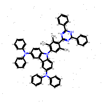 Cc1cc(-n2c3ccc(N(c4ccccc4)c4ccccc4)cc3c3cc(N(c4ccccc4)c4ccccc4)ccc32)c(C)c(C)c1C1=NC(c2ccccc2)NC(c2ccccc2)=N1